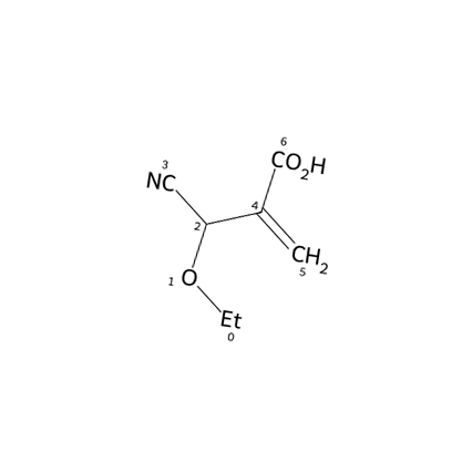 [CH2]COC(C#N)C(=C)C(=O)O